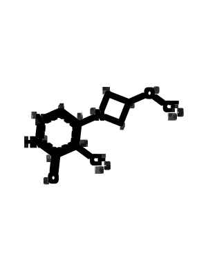 O=c1[nH]ncc(N2CC(OC(F)(F)F)C2)c1C(F)(F)F